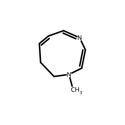 CN1\C=C/N=C\C=C/CC1